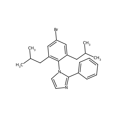 CC(C)Cc1cc(Br)cc(CC(C)C)c1-n1ccnc1-c1ccccc1